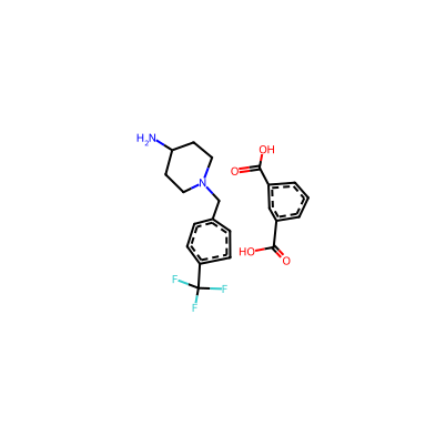 NC1CCN(Cc2ccc(C(F)(F)F)cc2)CC1.O=C(O)c1cccc(C(=O)O)c1